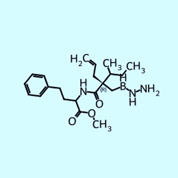 C=CC[C@@](CBNN)(C(=O)NC(CCc1ccccc1)C(=O)OC)C(C)CC